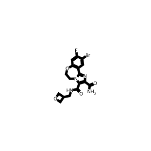 NC(=O)c1nc2n(c1C(=O)NCC1COC1)CCOc1cc(F)c(Br)cc1-2